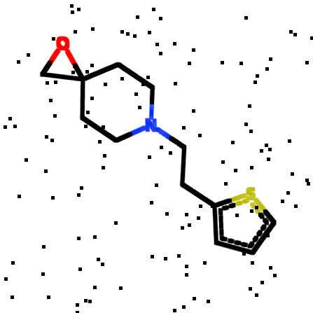 c1csc(CCN2CCC3(CC2)CO3)c1